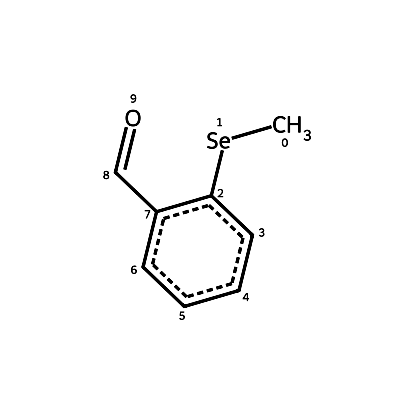 C[Se]c1ccccc1C=O